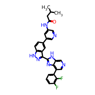 CC(C)CC(=O)Nc1cncc(-c2ccc3[nH]nc(-c4nc5c(-c6cccc(F)c6F)cncc5[nH]4)c3c2)c1